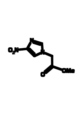 COC(=O)Cn1cnc([N+](=O)[O-])c1